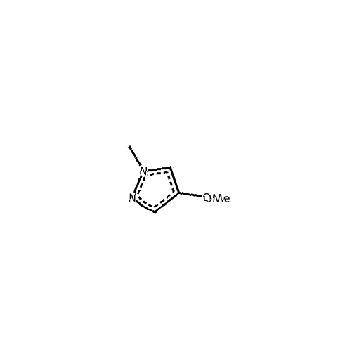 COc1[c]n(C)nc1